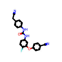 N#CCc1ccc(NC(=O)Nc2ccc(F)c(Oc3ccc(C#N)cc3)c2)cc1